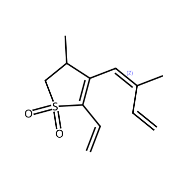 C=CC1=C(/C=C(/C)C=C)C(C)CS1(=O)=O